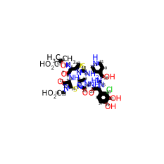 CC(C)(O/N=C(\C(=O)N[C@@H]1C(=O)N(CC(=O)O)[C@@H]1SN1CCN(NC(=O)/C(=N\NC(O)C2CCNCC2)c2ccc(O)c(O)c2Cl)C1=O)c1csc(N)n1)C(=O)O